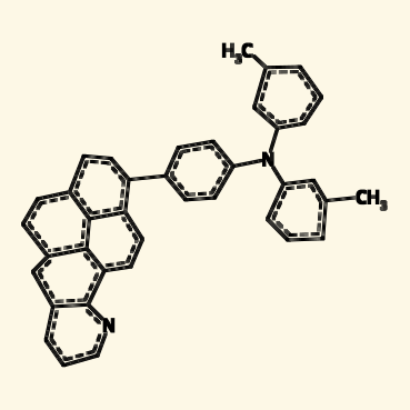 Cc1cccc(N(c2ccc(-c3ccc4ccc5cc6cccnc6c6ccc3c4c56)cc2)c2cccc(C)c2)c1